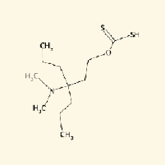 CCCC(CCC)(CCOC(=S)S)N(C)C